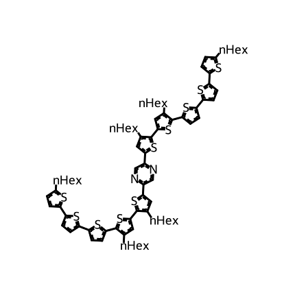 CCCCCCc1ccc(-c2ccc(-c3ccc(-c4sc(-c5sc(-c6cnc(-c7cc(CCCCCC)c(-c8cc(CCCCCC)c(-c9ccc(-c%10ccc(-c%11ccc(CCCCCC)s%11)s%10)s9)s8)s7)cn6)cc5CCCCCC)cc4CCCCCC)s3)s2)s1